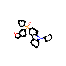 O=P(c1ccccc1)(c1ccc2ccoc2c1)c1ccc2c(c1)c1ccccc1n2-c1ccccc1